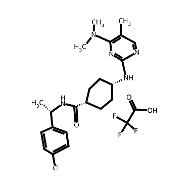 Cc1cnc(N[C@H]2CC[C@@H](C(=O)N[C@@H](C)c3ccc(Cl)cc3)CC2)nc1N(C)C.O=C(O)C(F)(F)F